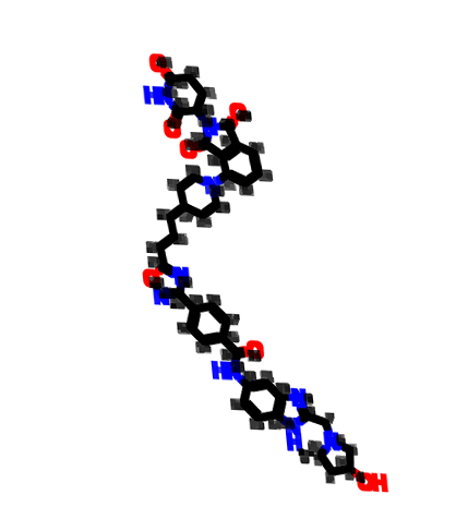 C[C@H]1C[C@H](O)CN1Cc1nc2cc(NC(=O)c3ccc(-c4noc(CCCC5CCN(c6cccc7c6C(=O)N(C6CCC(=O)NC6=O)C7=O)CC5)n4)cc3)ccc2[nH]1